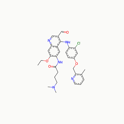 CCOc1cc2ncc(C=O)c(Nc3ccc(OCc4ncccc4C)cc3Cl)c2cc1NC(=O)CCCN(C)C